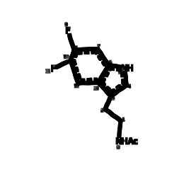 CC(=O)NCCc1c[nH]c2cc(F)c(F)cc12